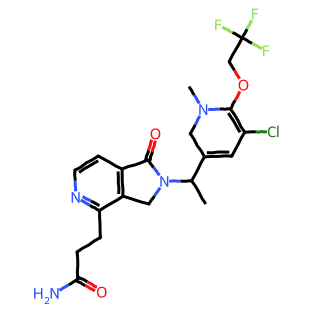 CC(C1=CC(Cl)=C(OCC(F)(F)F)N(C)C1)N1Cc2c(ccnc2CCC(N)=O)C1=O